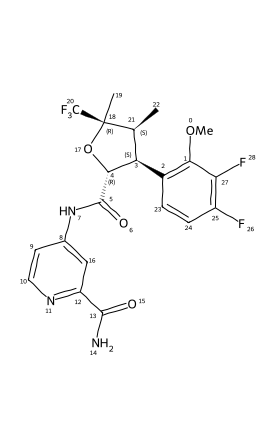 COc1c([C@H]2[C@H](C(=O)Nc3ccnc(C(N)=O)c3)O[C@@](C)(C(F)(F)F)[C@H]2C)ccc(F)c1F